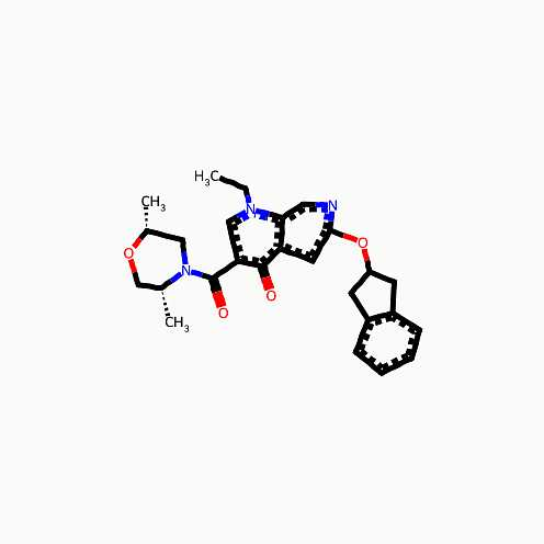 CCn1cc(C(=O)N2C[C@@H](C)OC[C@H]2C)c(=O)c2cc(OC3Cc4ccccc4C3)ncc21